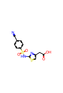 N#Cc1ccc(S(=O)(=O)Nc2nc(CC(=O)O)cs2)cc1